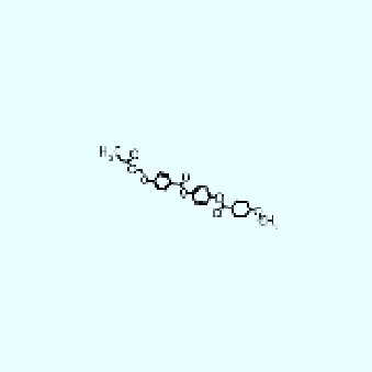 C=CC(=O)OCOc1ccc(C(=O)Oc2ccc(OC(=O)C3CCC(OC)CC3)cc2)cc1